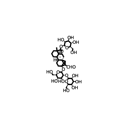 CC1(C(=O)O[C@@H]2O[C@H](CO)[C@@H](O)[C@H](O)[C@H]2O)CCC[C@@]2(C)[C@H]1CC[C@@]13C=C(C=O)[C@](O[C@@H]4O[C@H](CO)[C@@H](O)[C@H](O)[C@H]4O[C@@H]4O[C@H](CO)[C@@H](O)[C@H](O)[C@H]4O)(CC[C@@H]12)C3